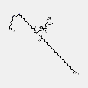 CCCCC/C=C\C/C=C\CCCCCCCC(=O)O[C@H](COC(=O)CCCCCCCCCCCCCCCCCCCC)COP(=O)(O)OC[C@@H](O)CO